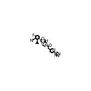 N#Cc1c(F)ccc([C@H]2CN3CCN(C(=O)Cc4ccc(-n5cnnn5)nc4)C[C@H]3CO2)c1C1CC1